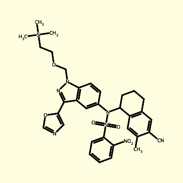 Cc1cc2c(cc1C#N)CCCC2N(c1ccc2c(c1)c(-c1cnco1)nn2COCC[Si](C)(C)C)S(=O)(=O)c1ccccc1[N+](=O)[O-]